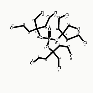 O=P(OC(CCl)(CCCl)CCCl)(OC(CCl)(CCCl)CCCl)OC(CCl)(CCCl)CCCl